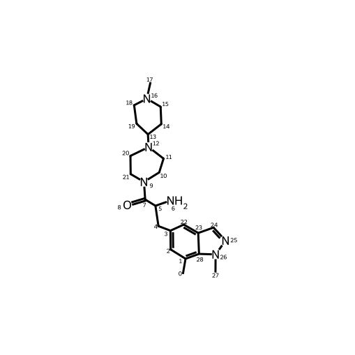 Cc1cc(CC(N)C(=O)N2CCN(C3CCN(C)CC3)CC2)cc2cnn(C)c12